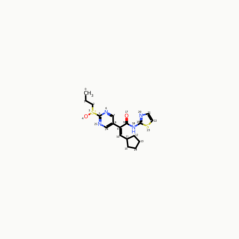 CCC[S+]([O-])c1ncc(C(=CC2CCCC2)C(=O)Nc2nccs2)cn1